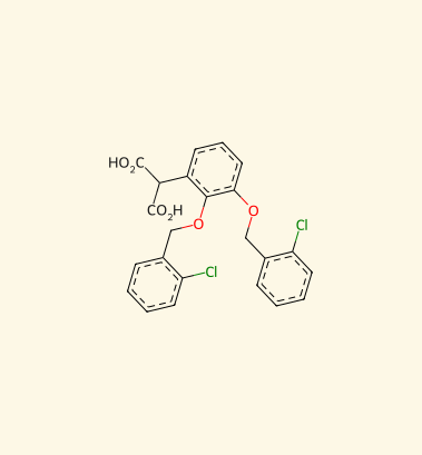 O=C(O)C(C(=O)O)c1cccc(OCc2ccccc2Cl)c1OCc1ccccc1Cl